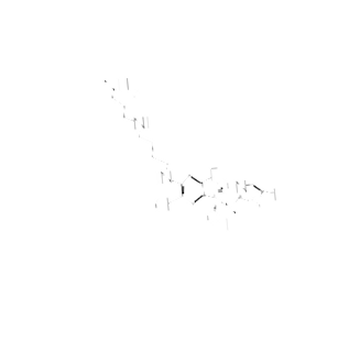 NCCCNCCCCNc1cc(F)c(S(=O)(=O)Nc2ncc(F)s2)cc1Cl